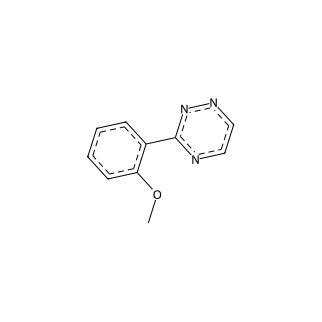 COc1ccccc1-c1nccnn1